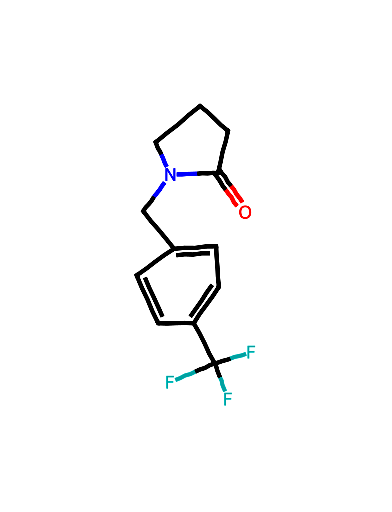 O=C1CCCN1Cc1ccc(C(F)(F)F)cc1